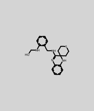 OCNc1ccccc1CNC1=Nc2ccccc2NC12CCSCC2